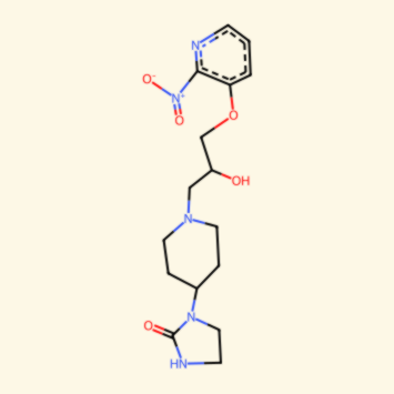 O=C1NCCN1C1CCN(CC(O)COc2cccnc2[N+](=O)[O-])CC1